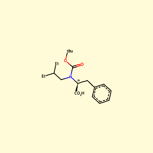 CCC(CC)CN(C(=O)OC(C)(C)C)[C@@H](Cc1ccccc1)C(=O)O